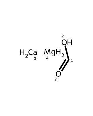 O=CO.[CaH2].[MgH2]